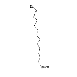 CCCCCCCCCCCCCCCCCCCCOCC